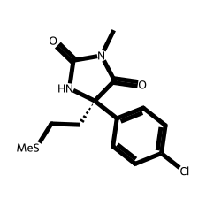 CSCC[C@]1(c2ccc(Cl)cc2)NC(=O)N(C)C1=O